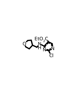 CCOC(=O)c1cnc(Cl)nc1NCC1CCOCC1